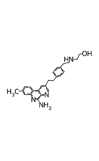 Cc1ccc2c(c1)nc(N)c1ncc(CCc3ccc(CCNCCO)cc3)cc12